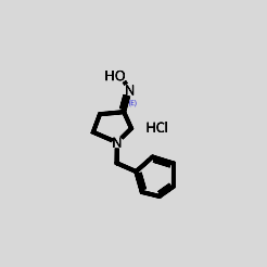 Cl.O/N=C1\CCN(Cc2ccccc2)C1